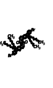 CCCCCCCCCC1(CCCCCCCC)c2cc(Br)ccc2-c2cc3c(cc21)C1=C2C(=O)N4C=Cc5cc6c(cc5C4=C2C(=O)N1C=C3)C(CCCCCCCC)(CCCCCCCC)c1cc(Br)ccc1-6